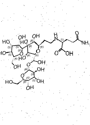 NC(=O)CC[C@H](NCC[C@H]1O[C@H](C(O)O[C@H]2O[C@H](CO)[C@@H](O)[C@H](O)[C@@H]2O)[C@@H](O)[C@@](O)([C@H]2O[C@H](CO)[C@@H](O)[C@H](O)[C@@H]2O)[C@@H]1O)C(=O)O